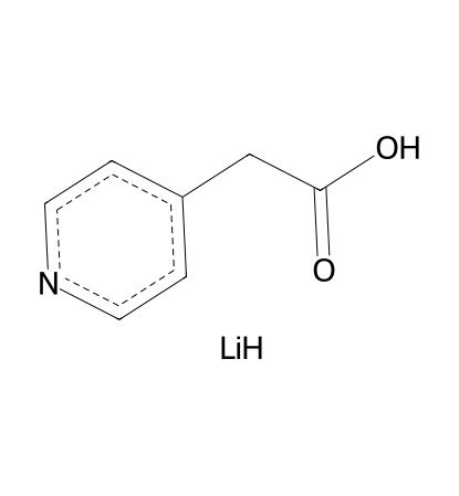 O=C(O)Cc1ccncc1.[LiH]